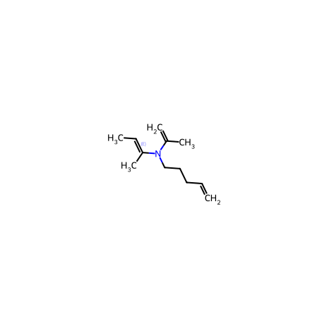 C=CCCCN(C(=C)C)/C(C)=C/C